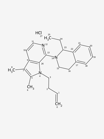 C=CCCn1c(C)c(C)c2ccnc(N3CCc4ccccc4C3CC)c21.Cl